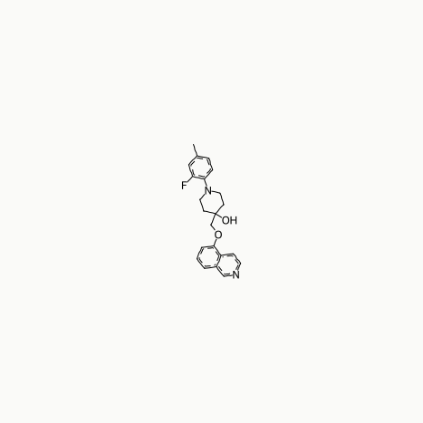 Cc1ccc(N2CCC(O)(COc3cccc4cnccc34)CC2)c(F)c1